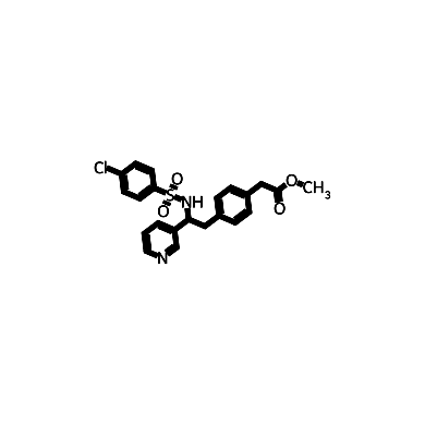 COC(=O)Cc1ccc(CC(NS(=O)(=O)c2ccc(Cl)cc2)c2cccnc2)cc1